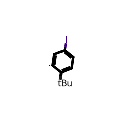 CC(C)(C)c1[c]cc(I)cc1